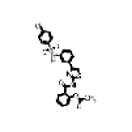 CC(=O)Oc1ccccc1C(=O)Nc1nc(-c2cccc(NS(=O)(=O)c3ccc(Cl)cc3)c2)cs1